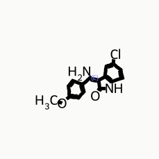 COc1ccc(/C(N)=C2\C(=O)Nc3ccc(Cl)cc32)cc1